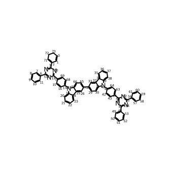 C1=CC(c2nc(-c3ccccc3)nc(-c3ccc(-n4c5ccccc5c5cc(-c6ccc7c(c6)c6ccccc6n7-c6ccc(-c7nc(-c8ccccc8)nc(-c8ccccc8)n7)cc6)ccc54)cc3)n2)=CCC1